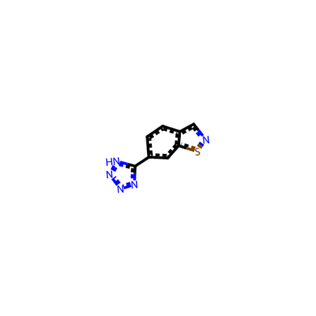 c1cc2cnsc2cc1-c1nnn[nH]1